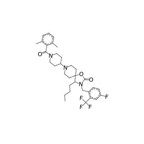 CCCCC1N(Cc2ccc(F)cc2C(F)(F)F)C(=O)OC12CCN(C1CCN(C(=O)c3c(C)cccc3C)CC1)CC2